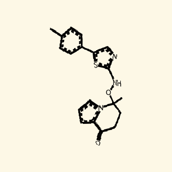 Cc1ccc(-c2cnc(NOC3(C)CCC(=O)c4cccn43)s2)cc1